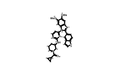 COc1cc2nc(-c3ccc4occc4c3)n(-c3ccnc(NC4CCCN(C(=O)C5CC5)C4)n3)c2cc1OC